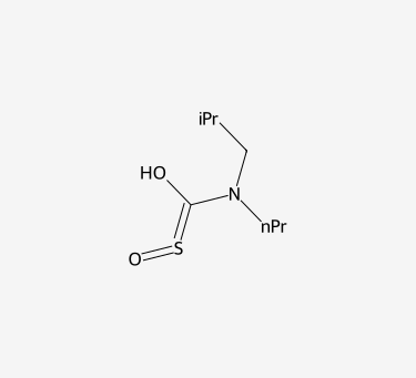 CCCN(CC(C)C)C(O)=S=O